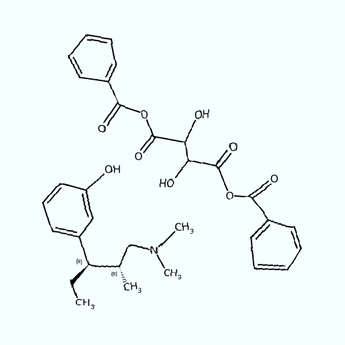 CC[C@@H](c1cccc(O)c1)[C@@H](C)CN(C)C.O=C(OC(=O)C(O)C(O)C(=O)OC(=O)c1ccccc1)c1ccccc1